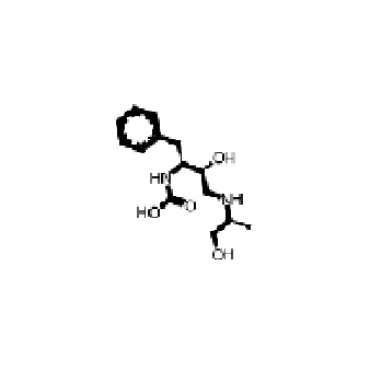 C[C@@H](CO)NC[C@H](O)[C@H](Cc1ccccc1)NC(=O)O